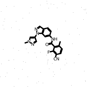 Cc1ccc(C#N)c(F)c1C(=O)Nc1ccc2cnn(-c3cnn(C)c3)c2c1